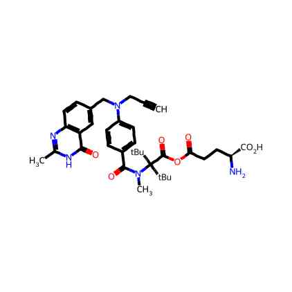 C#CCN(Cc1ccc2nc(C)[nH]c(=O)c2c1)c1ccc(C(=O)N(C)C(C(=O)OC(=O)CC[C@H](N)C(=O)O)(C(C)(C)C)C(C)(C)C)cc1